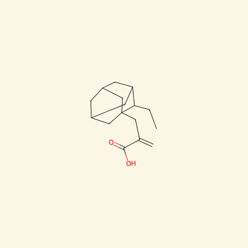 C=C(CC12CC3CC(CC(C3)C1CC)C2)C(=O)O